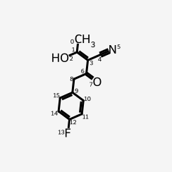 CC(O)=C(C#N)C(=O)Cc1ccc(F)cc1